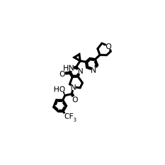 O=C([C@H](O)c1cccc(C(F)(F)F)c1)N1CCc2nc(C3(c4cncc(C5CCOCC5)c4)CC3)[nH]c(=O)c2C1